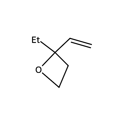 C=CC1(CC)CCO1